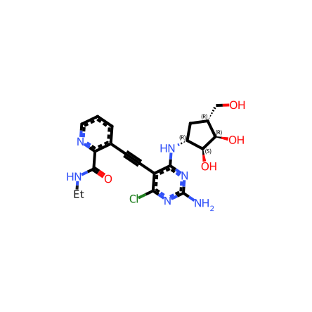 CCNC(=O)c1ncccc1C#Cc1c(Cl)nc(N)nc1N[C@@H]1C[C@H](CO)[C@@H](O)[C@H]1O